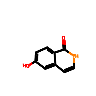 O=c1[pH]ccc2cc(O)ccc12